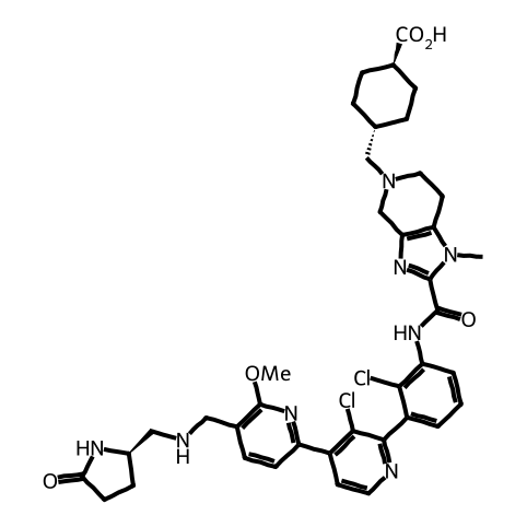 COc1nc(-c2ccnc(-c3cccc(NC(=O)c4nc5c(n4C)CCN(C[C@H]4CC[C@H](C(=O)O)CC4)C5)c3Cl)c2Cl)ccc1CNC[C@H]1CCC(=O)N1